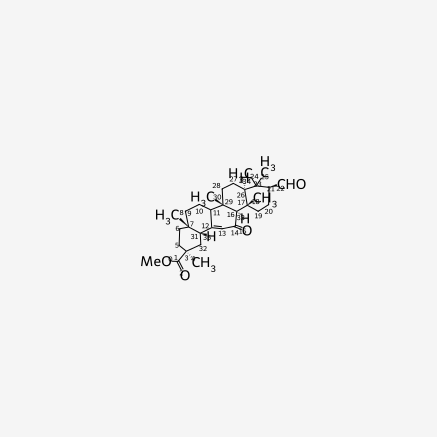 COC(=O)[C@@]1(C)CC[C@]2(C)CCC3C(=CC(=O)[C@@H]4[C@@]5(C)CC[C@H](C=O)C(C)(C)[C@@H]5CC[C@@]34C)[C@@H]2C1